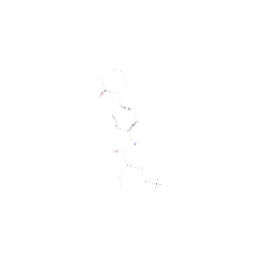 NC[C@H](NCC(F)(F)F)C(=O)Nc1ccc(N2CCOCC2=O)cc1